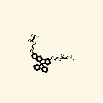 C=CC(=O)OCCOc1ccc2c(c1)-c1cc3cc(OCCOC(=O)C=C)ccc3cc1C2(c1ccccc1)c1ccccc1